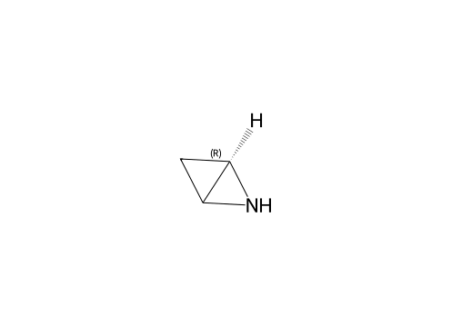 C1C2N[C@H]12